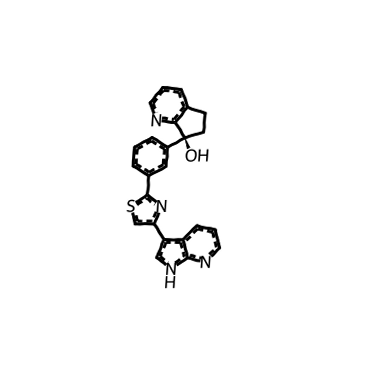 O[C@]1(c2cccc(-c3nc(-c4c[nH]c5ncccc45)cs3)c2)CCc2cccnc21